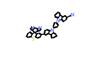 N#Cc1ccc2c(c1)c1ccccc1n2-c1ccc(-n2c3ccccc3c3cc(-c4ccc5c(c4)C4(c6ccccc6S5)c5cccnc5-c5ncccc54)ccc32)cc1